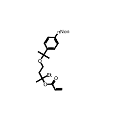 C=CC(=O)OC(C)(CC)CCOC(C)(C)c1ccc(CCCCCCCCC)cc1